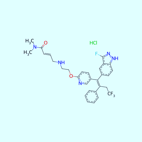 CN(C)C(=O)/C=C/CNCCOc1ccc(/C(=C(/CC(F)(F)F)c2ccccc2)c2ccc3[nH]nc(F)c3c2)cn1.Cl